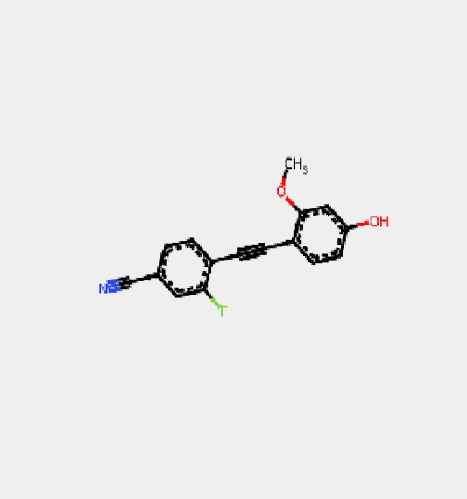 COc1cc(O)ccc1C#Cc1ccc(C#N)cc1F